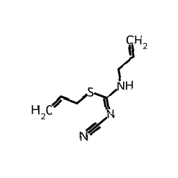 C=CCNC(=NC#N)SCC=C